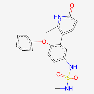 CNS(=O)(=O)Nc1ccc(Oc2ccccc2)c(-c2ccc(=O)[nH]c2C)c1